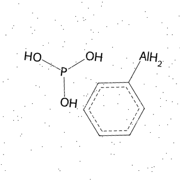 OP(O)O.[AlH2][c]1ccccc1